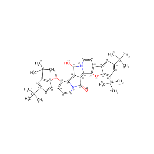 CC(C)(C)c1cc(C(C)(C)C)c2oc3c(c2c1)C=CN1C(=O)C2=C4c5oc6c(C(C)(C)C)cc(C(C)(C)C)cc6c5C=CN4C(O)C2=C31